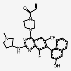 C=CC(=O)N1CCN(c2nc(NC3CCN(C)C3)nc3c(F)c(-c4cc(O)cc5ccccc45)c(C(F)(F)F)cc23)CC1